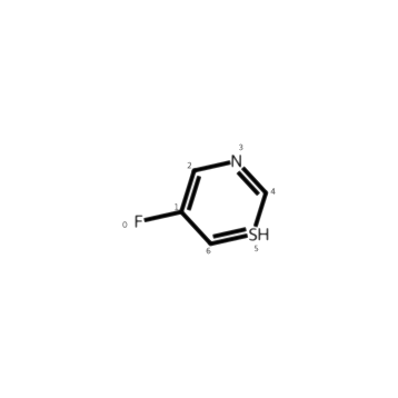 FC1=CN=C[SH]=C1